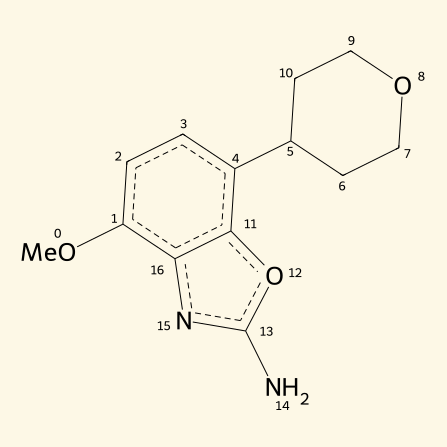 COc1ccc(C2CCOCC2)c2oc(N)nc12